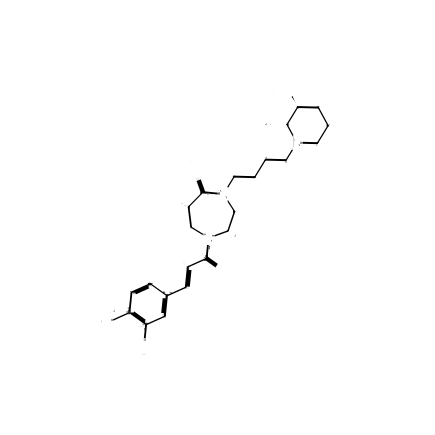 C[C@@H]1[C@@H](O)CCCN1CCCCN1CCN(C(=O)/C=C/c2ccc(Cl)c(Cl)c2)CCC1=O